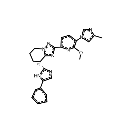 COc1nc(-c2nc3n(n2)CCC[C@H]3c2ncc(-c3ccccc3)[nH]2)ccc1-n1cnc(C)c1